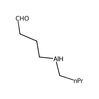 CCC[CH2][AlH][CH2]CCC=O